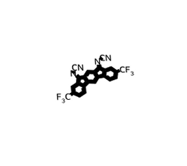 N#C/N=c1/c2cc(C(F)(F)F)ccc2c2cc3c(cc12)/c(=N/C#N)c1cc(C(F)(F)F)ccc13